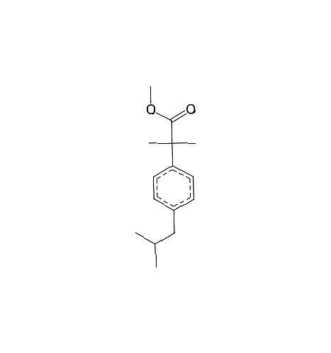 COC(=O)C(C)(C)c1ccc(CC(C)C)cc1